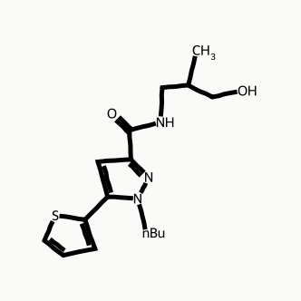 CCCCn1nc(C(=O)NCC(C)CO)cc1-c1cccs1